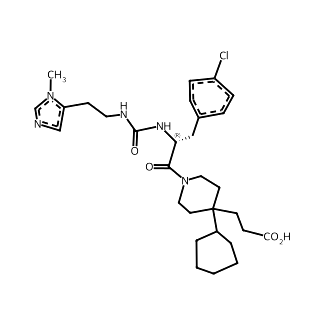 Cn1cncc1CCNC(=O)N[C@H](Cc1ccc(Cl)cc1)C(=O)N1CCC(CCC(=O)O)(C2CCCCC2)CC1